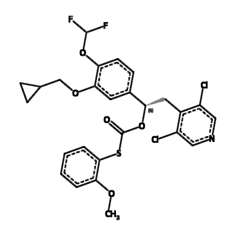 COc1ccccc1SC(=O)O[C@@H](Cc1c(Cl)cncc1Cl)c1ccc(OC(F)F)c(OCC2CC2)c1